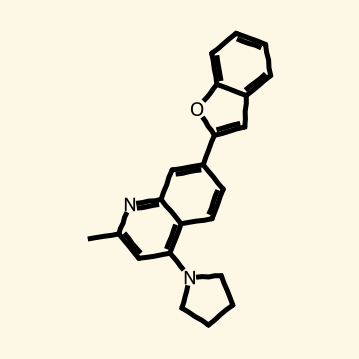 Cc1cc(N2CCCC2)c2ccc(-c3cc4ccccc4o3)cc2n1